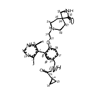 Cc1ncnc(C)c1-c1cc(NC(=O)C2CC2)ccc1OCCN1CCC2(CC1)CNC2=O